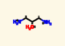 NCCCN.O